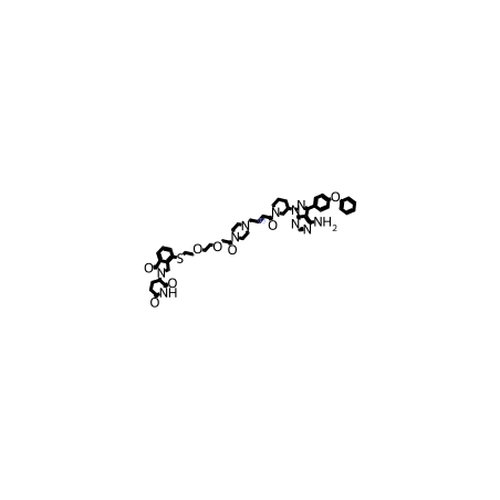 Nc1ncnc2c1c(-c1ccc(Oc3ccccc3)cc1)nn2C1CCCN(C(=O)/C=C/CN2CCN(C(=O)COCCOCCSc3cccc4c3CN(C3CCC(=O)NC3=O)C4=O)CC2)C1